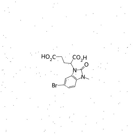 Cn1c(=O)n(C(CCC(=O)O)C(=O)O)c2cc(Br)ccc21